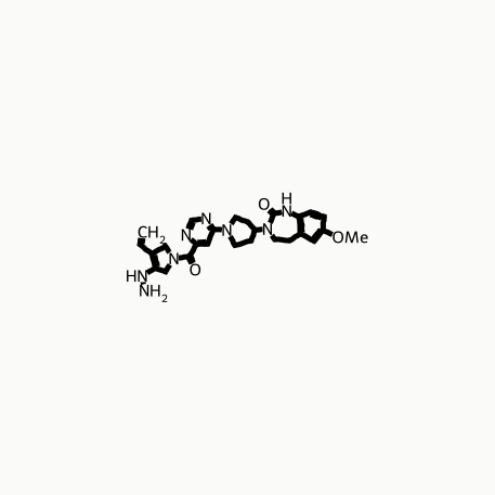 C=CC1=C(NN)CN(C(=O)c2cc(N3CCC(N4CCc5cc(OC)ccc5NC4=O)CC3)ncn2)C1